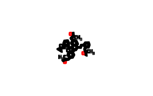 CC(CC(CC(CCc1ccccc1CC1(C)CO1)c1ccc(CC2(C)CO2)cc1)c1ccc(CC2(C)CO2)cc1)c1ccccc1CC1(C)CC1